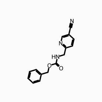 N#Cc1ccc(CNC(=O)OCc2ccccc2)nc1